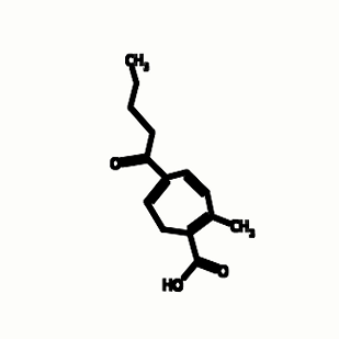 CCCCC(=O)C1=CCC(C(=O)O)=C(C)C=C1